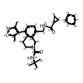 Cc1noc(C)c1-c1ccc(CNC(=O)C2C[C@@H]2c2ccccc2)c2c1CCN(C(=O)NC(C)(C)C)C2